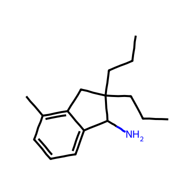 CCCC1(CCC)Cc2c(C)cccc2C1N